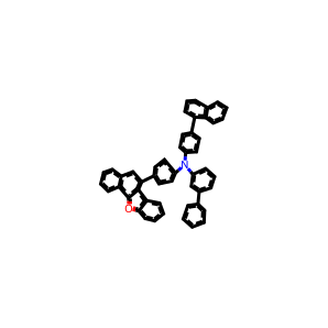 c1ccc(-c2cccc(N(c3ccc(-c4cccc5ccccc45)cc3)c3ccc(-c4cc5ccccc5c5oc6ccccc6c45)cc3)c2)cc1